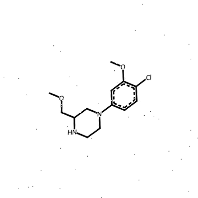 COCC1CN(c2ccc(Cl)c(OC)c2)CCN1